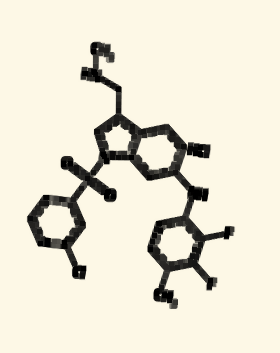 CNCc1cn(S(=O)(=O)c2cccc(Cl)c2)c2cc(Nc3ccc(C)c(F)c3F)ccc12.Cl